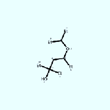 CCC(CC)OC(CC)CC(O)(CC)CC